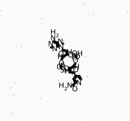 NC(=O)c1cc([C@H]2C[C@@H]3OP(=O)(S)OC[C@H]4O[C@@H](n5cnc6c(N)ncnc65)C[C@@H]4OP(=O)(O)OC[C@H]3O2)ccn1